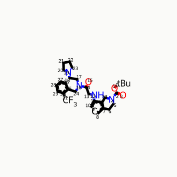 CC(C)(C)OC(=O)N1CCc2cccc(NCC(=O)N(CCN3CCCC3)Cc3ccccc3C(F)(F)F)c2C1